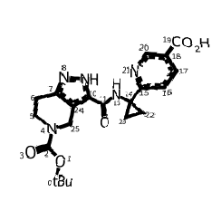 CC(C)(C)OC(=O)N1CCc2n[nH]c(C(=O)NC3(c4ccc(C(=O)O)cn4)CC3)c2C1